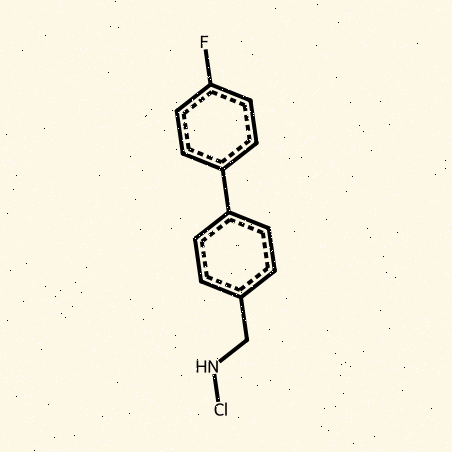 Fc1ccc(-c2ccc(CNCl)cc2)cc1